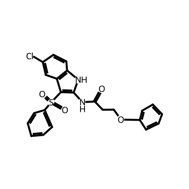 O=C(CCOc1ccccc1)Nc1[nH]c2ccc(Cl)cc2c1S(=O)(=O)c1ccccc1